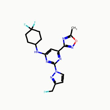 Cc1nc(-c2cc(NC3CCC(F)(F)CC3)nc(-n3ccc(CF)n3)n2)no1